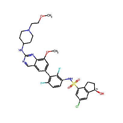 COCCN1CCC(Nc2ncc3cc(-c4c(F)ccc(NS(=O)(=O)c5cc(Cl)cc6c5CC[C@H]6O)c4F)cc(OC)c3n2)CC1